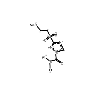 CCN(C(=O)n1cnc(S(=O)(=O)CCOC)n1)C(C)C